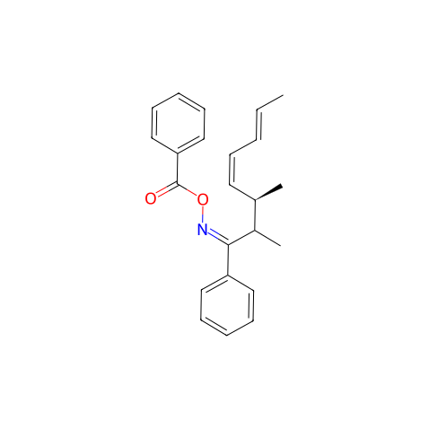 CC=C/C=C\[C@@H](C)C(C)/C(=N\OC(=O)c1ccccc1)c1ccccc1